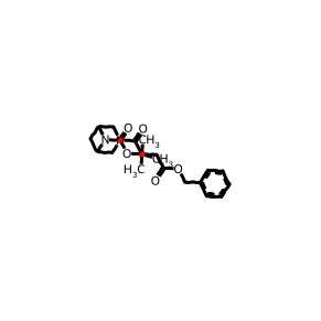 CC(C)(C)OC(=O)N1C2CC1CN(C(=O)CCC(=O)OCc1ccccc1)C2